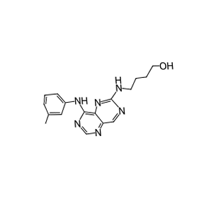 Cc1cccc(Nc2ncnc3cnc(NCCCCO)nc23)c1